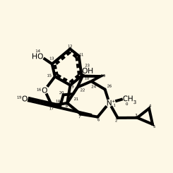 C[N+]1(CC2CC2)CCC23c4c5ccc(O)c4OC2C(=O)CCC3(O)C(C5)C1